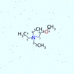 CC[N+](CC)(CC)CCOC